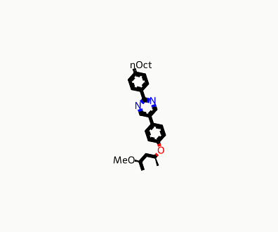 CCCCCCCCc1ccc(-c2ncc(-c3ccc(O[C@@H](C)C[C@@H](C)OC)cc3)cn2)cc1